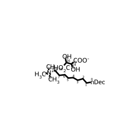 CCCCCCCCCCCCCCCCCC[N+](C)(C)C.O=C([O-])C(O)C(O)C(=O)O